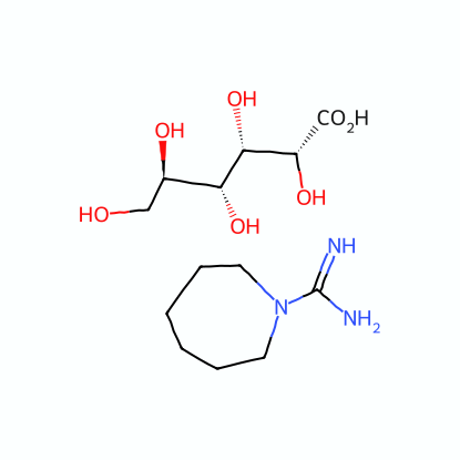 N=C(N)N1CCCCCC1.O=C(O)[C@H](O)[C@@H](O)[C@H](O)[C@H](O)CO